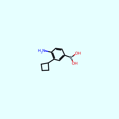 Nc1ccc(B(O)O)cc1C1CCC1